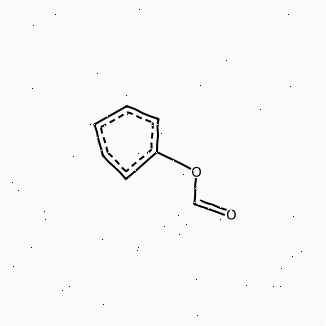 O=COc1cc[c]cc1